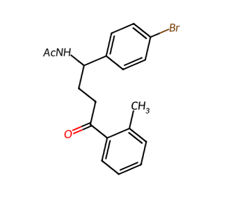 CC(=O)NC(CCC(=O)c1ccccc1C)c1ccc(Br)cc1